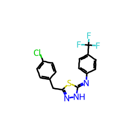 FC(F)(F)c1ccc(N=c2[nH]nc(Cc3ccc(Cl)cc3)s2)cc1